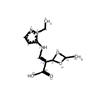 CCn1nccc1N/C=C(/C(=O)O)C1OC(C)O1